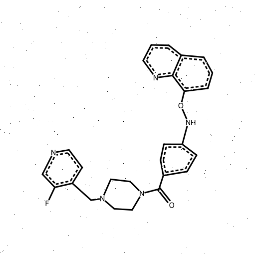 O=C(c1ccc(NOc2cccc3cccnc23)cc1)N1CCN(Cc2ccncc2F)CC1